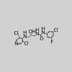 O=C(NCC(O)CNc1c(Cl)cncc1Cl)Nc1cc(F)cc(Cl)c1